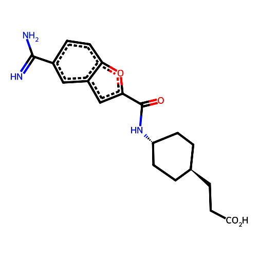 N=C(N)c1ccc2oc(C(=O)N[C@H]3CC[C@H](CCC(=O)O)CC3)cc2c1